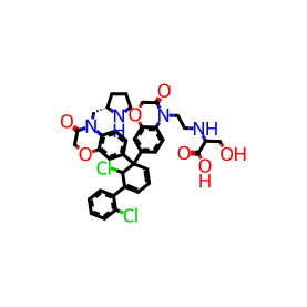 O=C(O)C(CO)NCCN1C(=O)COc2cc(C3(c4ccc5c(c4)OCC(=O)N5C[C@@H]4CCCN4)C=CC=C(c4ccccc4Cl)C3Cl)ccc21